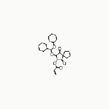 C=CC(=O)OC1C(=O)C2(CCCC2)C(=O)C1OC(OC1CCCCC1)C1CCCCC1